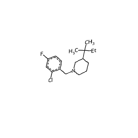 CCC(C)(C)C1CCCN(Cc2ccc(F)cc2Cl)C1